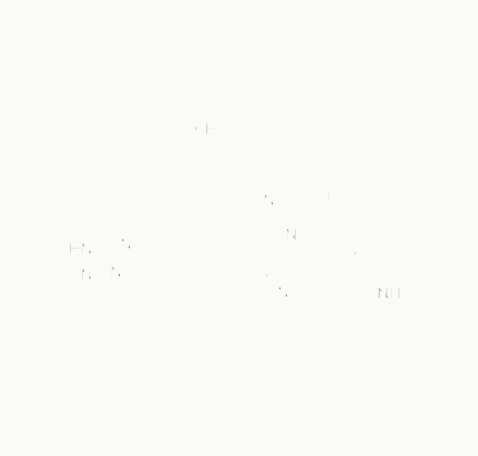 CCCCc1nc(C)n(Cc2ncccc2C(N)=O)c(=O)c1Cc1ccc(-c2ccccc2-c2nnn[nH]2)cc1